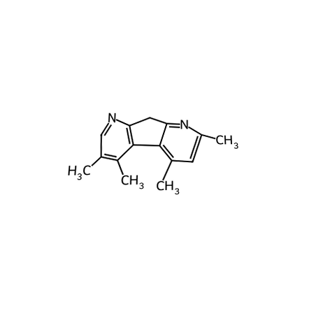 Cc1cc(C)c2c(n1)Cc1ncc(C)c(C)c1-2